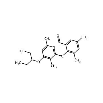 CCC(CC)Oc1cc(C)nc(Oc2c(C)cc(C)cc2C=O)c1C